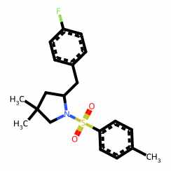 Cc1ccc(S(=O)(=O)N2CC(C)(C)CC2Cc2ccc(F)cc2)cc1